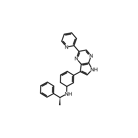 C[C@H](NC1C=C(c2c[nH]c3ncc(-c4ccccn4)nc23)C=CC1)c1ccccc1